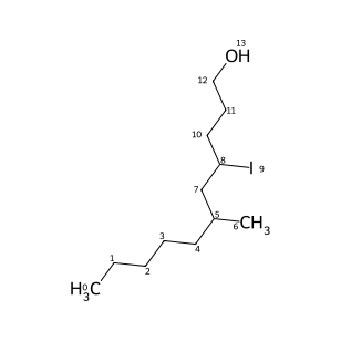 CCCCCC(C)CC(I)CCCO